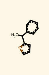 [CH2]C(c1ccccc1)c1cccs1